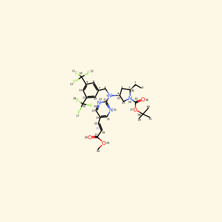 CC[C@@H]1C[C@H](N(Cc2cc(C(F)(F)F)cc(C(F)(F)F)c2)c2ncc(/C=C/C(=O)OC)cn2)CN1C(=O)OC(C)(C)C